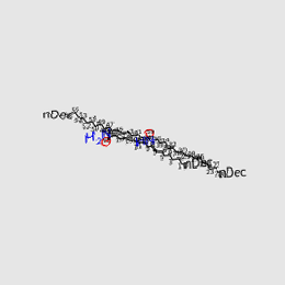 CCCCCCCCCCCCCCCCCCCCCCCCCCC(N)=O.CCCCCCCCCCCCCCCCCCCCCCCCCCNC(=O)CCCCCCCCCCCCCCCCCCCCCCCCCC